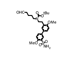 COc1ccc(-c2ccc(OC)c(S(N)(=O)=O)c2)cc1CCN(CCCCC=O)C(=O)OC(C)(C)C